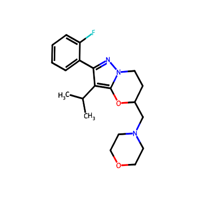 CC(C)c1c(-c2ccccc2F)nn2c1OC(CN1CCOCC1)CC2